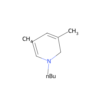 C.CCCCN1C=CC=C(C)C1